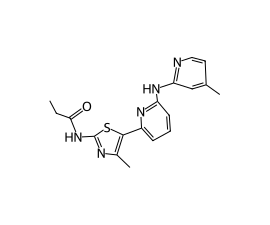 CCC(=O)Nc1nc(C)c(-c2cccc(Nc3cc(C)ccn3)n2)s1